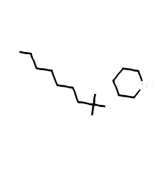 CCCCCCCC(C)(C)N[C@@H]1CCCNC1